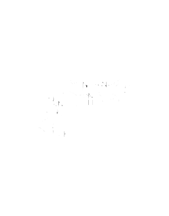 O=S(=O)(Cc1cccc(Cl)c1)N1CCc2c(ccnc2Nc2cnc3ccccc3c2)C1